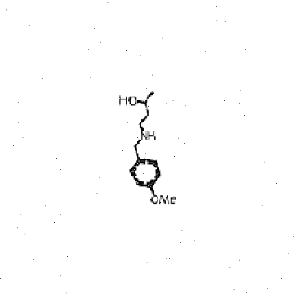 COc1ccc(CNCCC(C)O)cc1